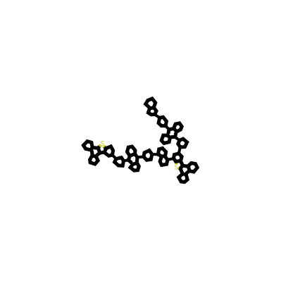 c1cc(-c2ccc3sc4c5ccccc5c5ccccc5c4c3c2)cc(-c2c3ccccc3c(-c3ccc(-c4cccc5c(-c6cc(-c7cccc(-c8c9ccccc9c(-c9ccc(-c%10ccc%11ccccc%11c%10)cc9)c9ccccc89)c7)cc7c6sc6c8ccccc8c8ccccc8c76)cccc45)cc3)c3ccccc23)c1